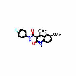 CSc1ccc2c(c1)c(OC(C)=O)c(C(=O)Nc1ccc(F)cc1)c(=O)n2C